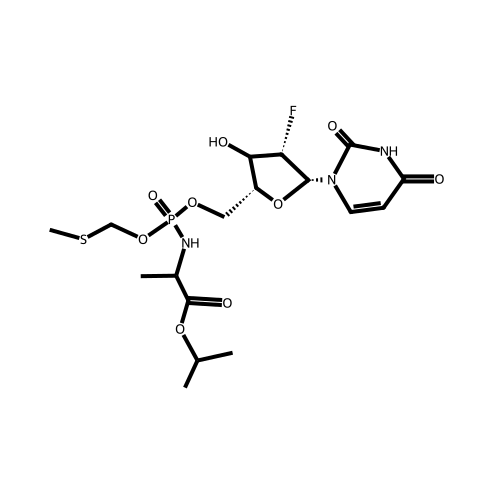 CSCOP(=O)(NC(C)C(=O)OC(C)C)OC[C@H]1O[C@@H](n2ccc(=O)[nH]c2=O)[C@@H](F)C1O